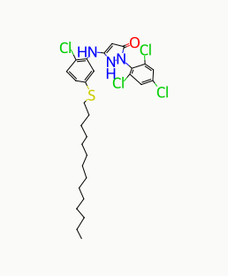 CCCCCCCCCCCCCCSc1ccc(Cl)c(Nc2cc(=O)n(-c3c(Cl)cc(Cl)cc3Cl)[nH]2)c1